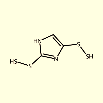 SSc1c[nH]c(SS)n1